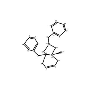 C1=CC[C@]2(Cc3ccccc3)CN(Cc3ccccc3)C[C@@H]2C1